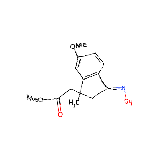 COC(=O)CC1(C)CC(=NO)c2ccc(OC)cc21